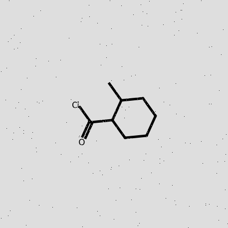 CC1CCCCC1C(=O)Cl